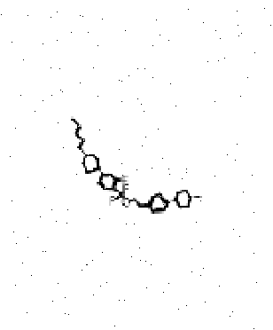 C/C=C/CC[C@H]1CC[C@H](c2ccc(C(F)(F)OCCc3ccc([C@H]4CC[C@H](C)CC4)cc3)c(F)c2)CC1